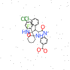 COC(=O)c1ccc(N(C)C(=O)C2NC3(CCCCC3)[C@@]3(C(=O)Nc4cc(Cl)ccc43)C2c2cccc(Cl)c2F)cc1